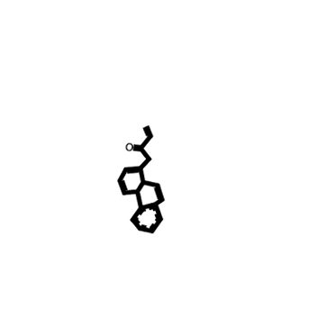 C=CC(=O)CC1=CC=CC2c3ccccc3C=CC12